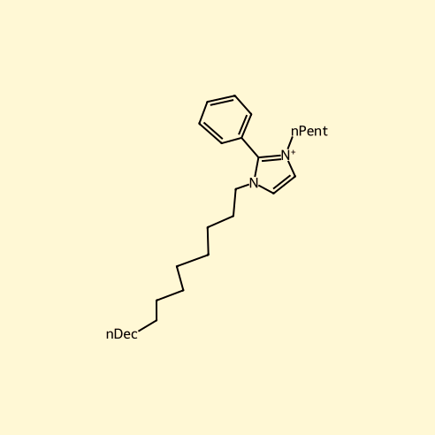 CCCCCCCCCCCCCCCCCCn1cc[n+](CCCCC)c1-c1ccccc1